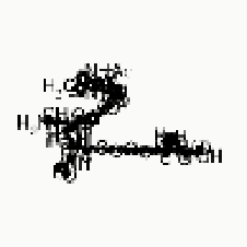 CC[C@@]1(OC(=O)OCc2ccc(NC(=O)[C@H](CCCNC(N)O)NC(=O)[C@@H](NC(=O)[C@H](CC(=O)N[C@H]3CCOC3=O)NC(=O)CCOCCOCCOCCOCCNC(=O)[C@H](CNC(=O)CCP(=O)(O)O)N3C(=O)C=CC3=O)C(C)C)cc2)C(=O)OCc2c1cc1n(c2=O)Cc2c-1nc1cc(F)c(C)c3c1c2[C@@H](NC(C)=O)CC3